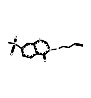 C=CCCCn1cnc2cc(S(C)(=O)=O)ccc2c1=O